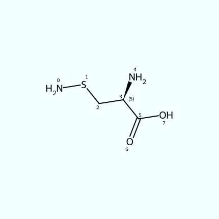 NSC[C@@H](N)C(=O)O